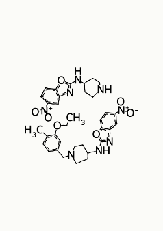 CCOc1cc(CN2CCC(Nc3nc4cc([N+](=O)[O-])ccc4o3)CC2)ccc1C.O=[N+]([O-])c1ccc2oc(NC3CCNCC3)nc2c1